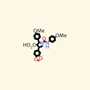 COc1ccc(NC(=O)N2CC(c3ccc4c(c3)OCO4)C(C(=O)O)C2c2ccc(OC)cc2)cc1